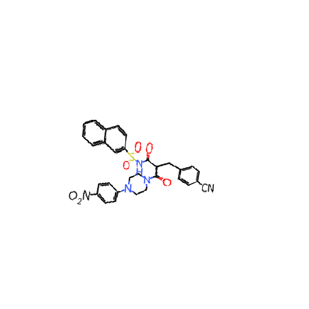 N#Cc1ccc(CC(C(=O)NS(=O)(=O)c2ccc3ccccc3c2)C(=O)N2CCN(c3ccc([N+](=O)[O-])cc3)CC2)cc1